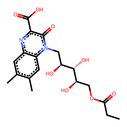 CCC(=O)OC[C@@H](O)[C@@H](O)[C@@H](O)Cn1c(=O)c(C(=O)O)nc2cc(C)c(C)cc21